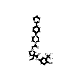 CCC1(C(=O)Nc2ccc(O)c(C(F)(F)F)c2)CCN(CC(=O)N2CCN(c3ccc(-c4ncccn4)cc3)CC2)C1